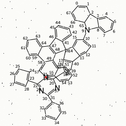 C1=CC2c3ccccc3N(c3ccc4c(c3)C3(c5cc(-c6nc(-c7ccccc7)nc(-c7ccccc7)n6)ccc5-4)c4ccccc4-c4c3c3c5ccccc5ccc3c3ccccc43)C2C=C1